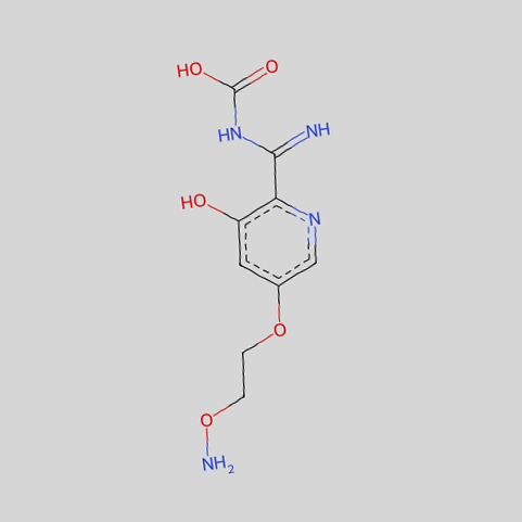 N=C(NC(=O)O)c1ncc(OCCON)cc1O